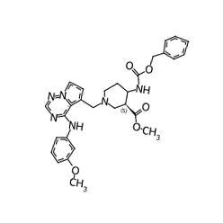 COC(=O)[C@H]1CN(Cc2ccn3ncnc(Nc4cccc(OC)c4)c23)CCC1NC(=O)OCc1ccccc1